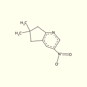 CC1(C)Cc2cc([N+](=O)[O-])cnc2C1